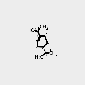 C=C(C)[C@@H]1CC=C(C(C)O)CC1